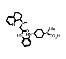 CN(CC(=O)Nc1ccccc1N[C@H]1CC[C@H](N(C(=O)O)C(C)(C)C)CC1)C1CCCc2cccnc21